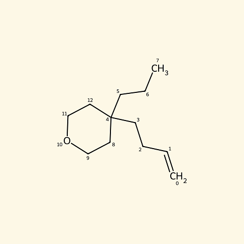 C=CCCC1(CCC)CCOCC1